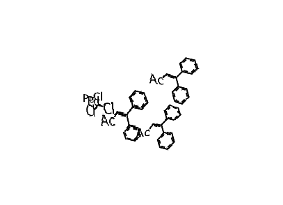 CC(=O)C=C(c1ccccc1)c1ccccc1.CC(=O)C=C(c1ccccc1)c1ccccc1.CC(=O)C=C(c1ccccc1)c1ccccc1.ClC(Cl)Cl.[Pd].[Pd]